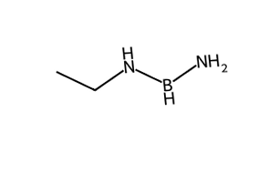 CCNBN